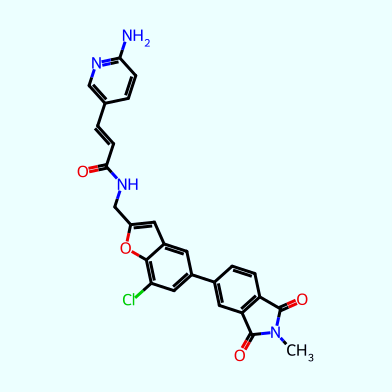 CN1C(=O)c2ccc(-c3cc(Cl)c4oc(CNC(=O)C=Cc5ccc(N)nc5)cc4c3)cc2C1=O